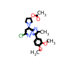 COc1ccc(-c2c(C)nc3c(N4CC[C@@H](OC(C)=O)C4)cc(Cl)nn23)cc1OC